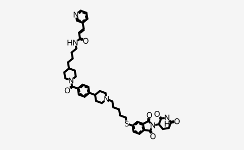 O=C(/C=C/c1cccnc1)NCCCCC1CCN(C(=O)c2ccc(C3CCN(CCCCCSc4ccc5c(c4)C(=O)N(C4CCC(=O)NC4=O)C5=O)CC3)cc2)CC1